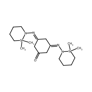 C[Si]1(C)CCCCN1N=C1CC(=O)CC(=NN2CCCC[Si]2(C)C)C1